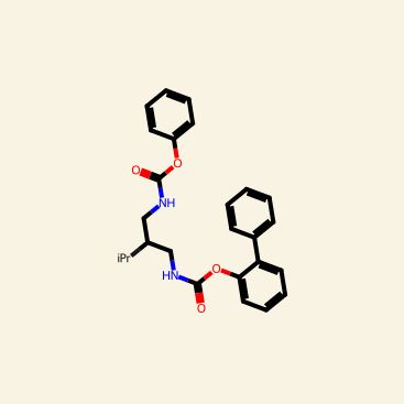 CC(C)C(CNC(=O)Oc1ccccc1)CNC(=O)Oc1ccccc1-c1ccccc1